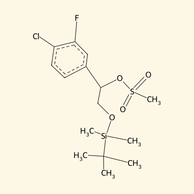 CC(C)(C)[Si](C)(C)OCC(OS(C)(=O)=O)c1ccc(Cl)c(F)c1